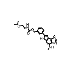 CNc1nc2[nH]c(-c3cccc(COC(=O)NCCOC(C)C)c3)cc2c2c1ncn2C